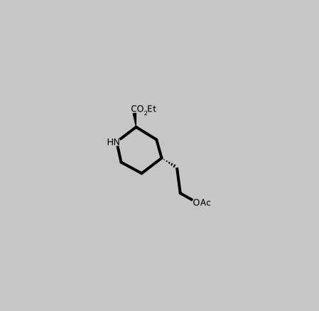 CCOC(=O)[C@H]1C[C@H](CCOC(C)=O)CCN1